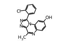 Cc1nc2ccc(O)cc2n2c(-c3ccccc3Cl)nnc12